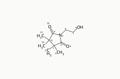 CC1(C)C(=O)N(CCO)C(=O)C1(C)C